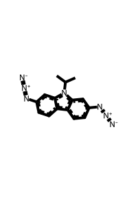 CC(C)n1c2cc(N=[N+]=[N-])ccc2c2ccc(N=[N+]=[N-])cc21